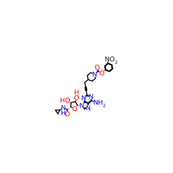 Nc1nc(C#CCC2CCN(C(=O)Oc3cccc([N+](=O)[O-])c3)CC2)nc2c1ncn2[C@@H]1O[C@H](C(=O)NC2CC2)[C@H](O)C1O